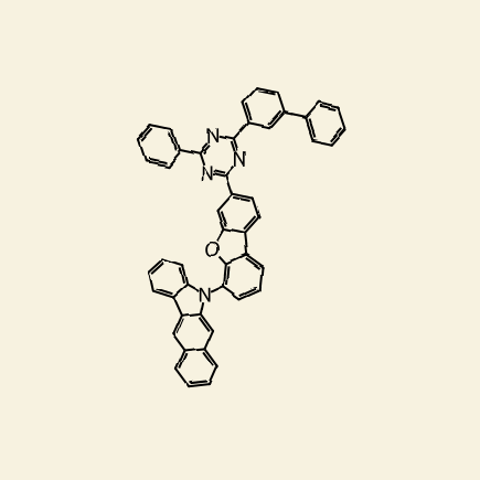 c1ccc(-c2cccc(-c3nc(-c4ccccc4)nc(-c4ccc5c(c4)oc4c(-n6c7ccccc7c7cc8ccccc8cc76)cccc45)n3)c2)cc1